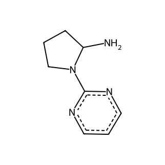 NC1CCCN1c1ncccn1